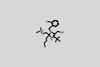 CCCCC1(CO[SiH](C)C)NC(C(C)(C)C)=C(CO)N1Cc1ccccc1Cl